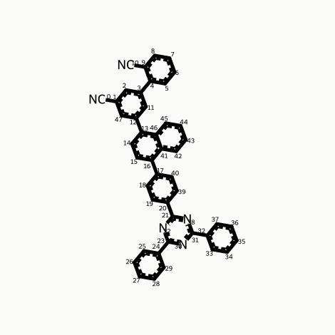 N#Cc1cc(-c2ccccc2C#N)cc(-c2ccc(-c3ccc(-c4nc(-c5ccccc5)nc(-c5ccccc5)n4)cc3)c3ccccc23)c1